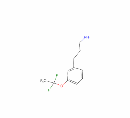 [NH]CCCc1cccc(OC(F)(F)C(F)(F)F)c1